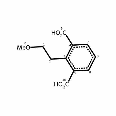 COCCc1c(C(=O)O)cccc1C(=O)O